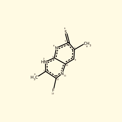 Cc1[nH]c2nc(=S)c(C)cc-2nc1F